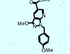 COC(=O)c1cnc2c(c1)c(OC)nn2Cc1ccc(OC)cc1